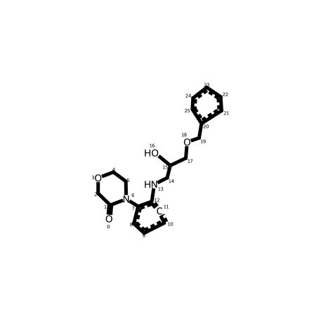 O=C1COCCN1c1ccccc1NCC(O)COCc1ccccc1